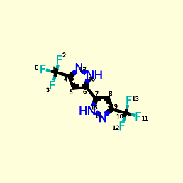 FC(F)(F)c1cc(-c2cc(C(F)(F)F)n[nH]2)[nH]n1